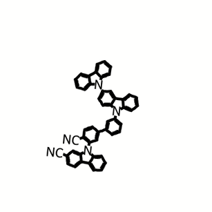 N#Cc1ccc2c3ccccc3n(-c3cc(-c4cccc(-n5c6ccccc6c6cc(-n7c8ccccc8c8ccccc87)ccc65)c4)ccc3C#N)c2c1